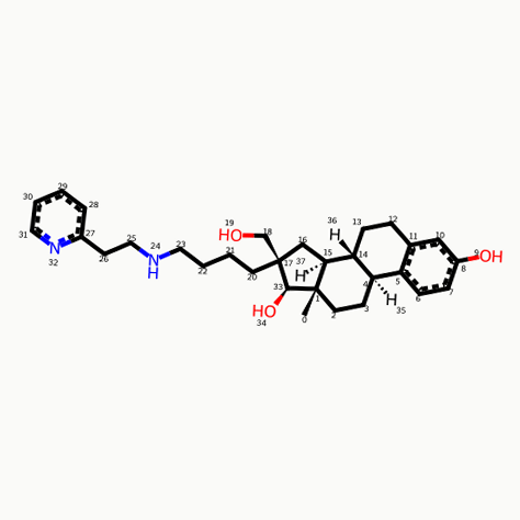 C[C@]12CC[C@@H]3c4ccc(O)cc4CC[C@H]3[C@@H]1C[C@@](CO)(CCCCNCCc1ccccn1)[C@@H]2O